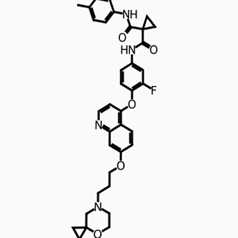 Cc1ccc(NC(=O)C2(C(=O)Nc3ccc(Oc4ccnc5cc(OCCCN6CCOC7(CC7)C6)ccc45)c(F)c3)CC2)cc1